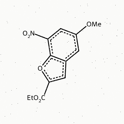 CCOC(=O)c1cc2cc(OC)cc([N+](=O)[O-])c2o1